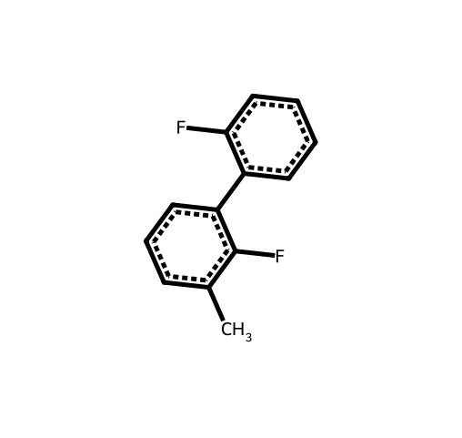 Cc1cccc(-c2ccccc2F)c1F